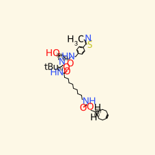 Cc1ncsc1-c1ccc(CNC(=O)[C@@H]2C[C@@H](O)CN2C(=O)[C@@H](NC(=O)CCCCCCCCCNC(=O)OCC2[C@H]3CCC#CCC[C@@H]23)C(C)(C)C)cc1